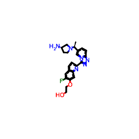 C[C@@H](c1ccc2nnc(-c3ccc4cc(F)c(OCCO)cc4n3)n2c1)N1CC[C@H](N)C1